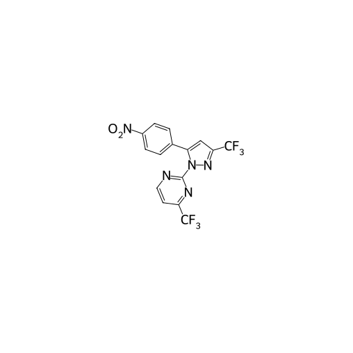 O=[N+]([O-])c1ccc(-c2cc(C(F)(F)F)nn2-c2nccc(C(F)(F)F)n2)cc1